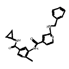 Cc1ccc(C(=O)NC2CC2)cc1NC(=O)c1ccnc(NCc2ccccc2)c1